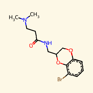 CN(C)CCC(=O)NCC1COc2cccc(Br)c2O1